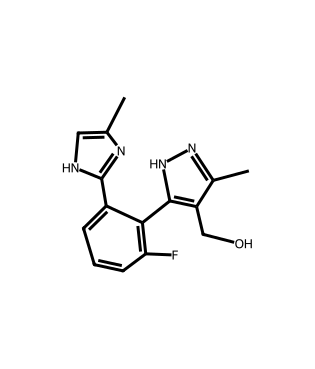 Cc1c[nH]c(-c2cccc(F)c2-c2[nH]nc(C)c2CO)n1